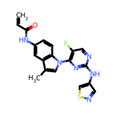 C=CC(=O)Nc1ccc2c(c1)c(C)cn2-c1nc(Nc2cnsc2)ncc1F